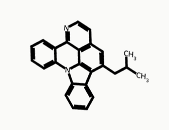 CC(C)Cc1cc2ccnc3c4ccccc4n4c5ccccc5c1c4c23